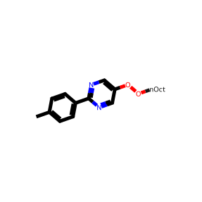 CCCCCCCCOOc1cnc(-c2ccc(C)cc2)nc1